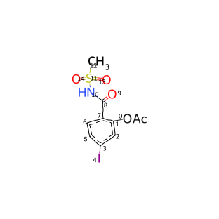 CC(=O)Oc1cc(I)ccc1C(=O)NS(C)(=O)=O